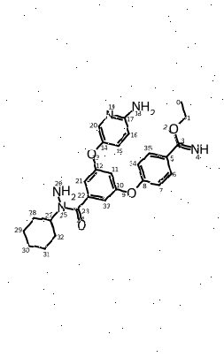 CCOC(=N)c1ccc(Oc2cc(Oc3ccc(N)nc3)cc(C(=O)N(N)C3CCCCC3)c2)cc1